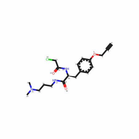 C#CCOc1ccc(C[C@H](NC(=O)CCl)C(=O)NCCCN(C)C)cc1